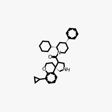 O=C(C1CNC[C@]12CCOc1c(C3CC3)cccc12)N1CC[C@@H](c2ccccc2)C[C@H]1C1CCCCC1